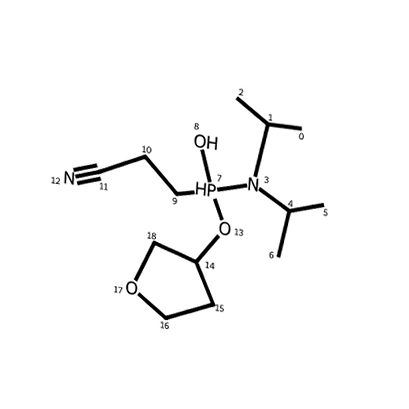 CC(C)N(C(C)C)[PH](O)(CCC#N)OC1CCOC1